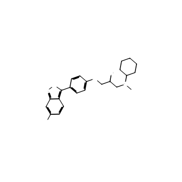 CN(CC(O)COc1ccc(-c2onc3cc(F)ccc23)cc1)C1CCCCC1